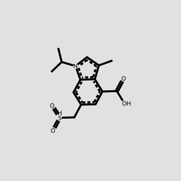 Cc1cn(C(C)C)c2cc(C[SH](=O)=O)cc(C(=O)O)c12